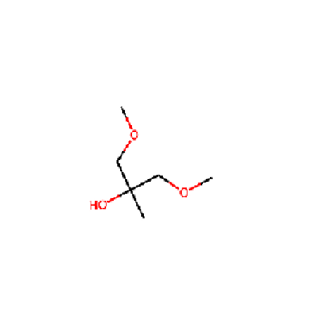 COCC(C)(O)COC